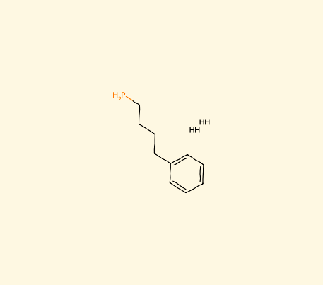 PCCCCc1ccccc1.[HH].[HH]